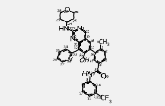 Cc1ccc(C(=O)Nc2cccc(C(F)(F)F)c2)cc1-c1cc2cnc(NC3CCOCC3)nc2c(-c2ccccn2)c1O